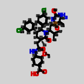 COc1cc(C(=O)O)ccc1NC(=O)C[C@@]1(C)C[C@H](c2cccc(Cl)c2)[C@@H](c2ccc(Cl)cc2)N(C(CS(=O)(=NC(N)=O)C(C)C)C(C)C)C1=O